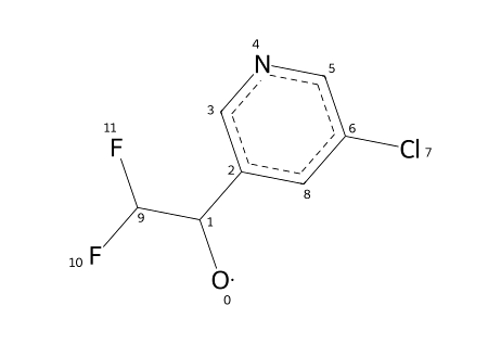 [O]C(c1cncc(Cl)c1)C(F)F